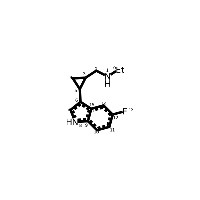 CCNCC1CC1c1c[nH]c2ccc(F)cc12